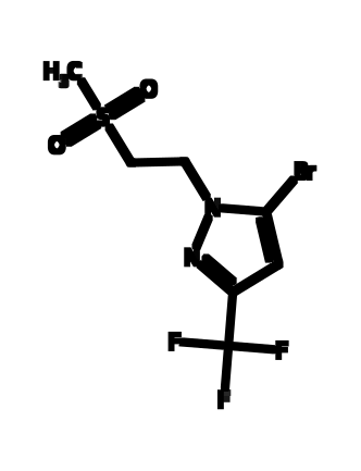 CS(=O)(=O)CCn1nc(C(F)(F)F)cc1Br